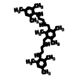 Cc1cc(C)c(NCCNCc2c(C)cc(C)c(CNCCNc3c(C)cc(C)cc3C)c2C)c(C)c1